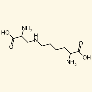 NC(CCCCNCC(N)C(=O)O)C(=O)O